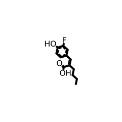 CCCCC(=Cc1ccc(O)c(F)c1)C(=O)O